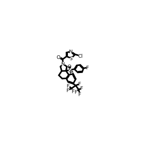 O=C(c1cnc(Cl)s1)N1CC2CCc3cc(C(F)(C(F)(F)F)C(F)(F)F)ccc3C2(S(=O)(=O)c2ccc(F)cc2)C1